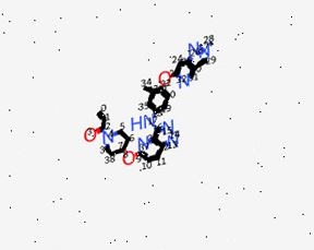 C=CC(=O)N1CCC(Oc2ccc3ncnc(Nc4ccc(Oc5cc6nn(C)cc6cn5)c(C)c4)c3n2)CC1